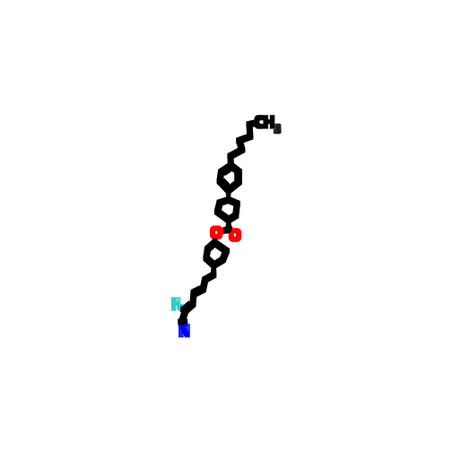 CCCCCCc1ccc([C@H]2CC[C@H](C(=O)O[C@H]3CC[C@H](CCC=CC=C(F)C#N)CC3)CC2)cc1